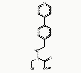 COC(=O)[C@H](CO)NCc1ccc(-c2ccncc2)cc1